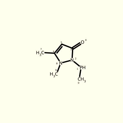 CPn1c(=O)cc(C)n1C